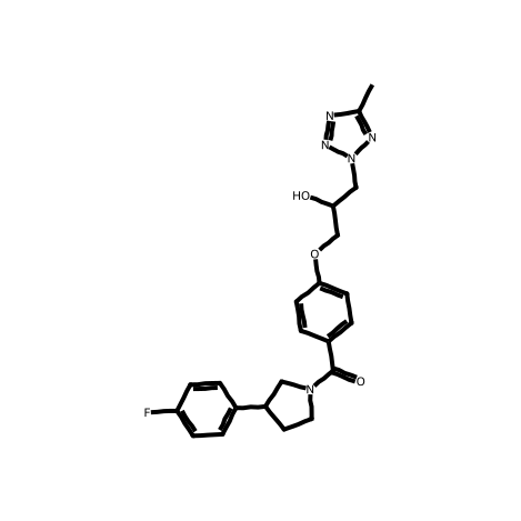 Cc1nnn(CC(O)COc2ccc(C(=O)N3CCC(c4ccc(F)cc4)C3)cc2)n1